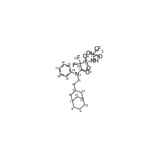 O=C(N(CCC1CC2CCCC(C2)C1)c1ccccc1)C(F)(F)S(=O)(=O)NS(=O)(=O)C(F)(F)F